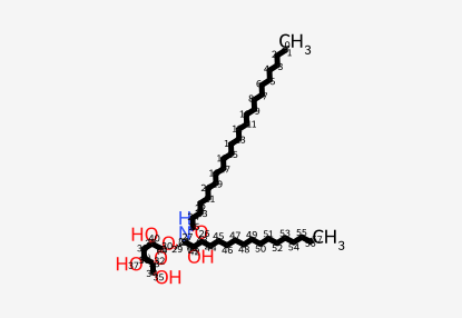 CCCCCCCCCCCCCCCCCCCCCCCCCC(=O)N[C@@H](CO[C@H]1OC(CO)[C@H](O)CC1O)[C@H](O)CCCCCCCCCCCCCCC